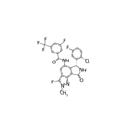 Cn1nc2c3c(c(NC(=O)c4cc(F)cc(C(F)(F)F)c4)cc2c1F)[C@H](c1cc(F)ccc1Cl)NC3=O